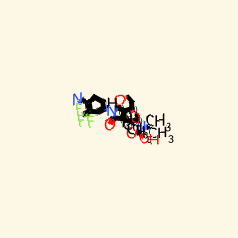 CC(C)N(C(=O)O)[C@@H]1C[C@@]23CCO[C@H]4[C@@H]2[C@](C)(C(=O)N4c2ccc(C#N)c(C(F)(F)F)c2)[C@]1(C)O3